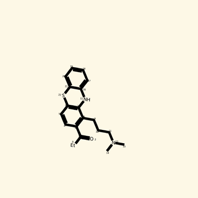 CCC(=O)c1ccc2c(c1CCCN(C)C)Nc1ccccc1S2